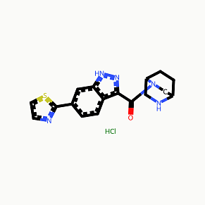 Cl.O=C(c1n[nH]c2cc(-c3nccs3)ccc12)N1CC2CCC1CN2